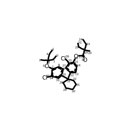 CCC(C)(CC)Oc1ccc(C2(c3ccc(OC(=O)C(C)(CC)CC)c(Cl)c3)CCCCC2)cc1Cl